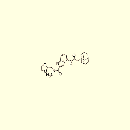 CN(CC1OCCO1)C(=O)c1cn2c(NC(=O)CC34CC5CC(CC(C5)C3)C4)cccc2n1